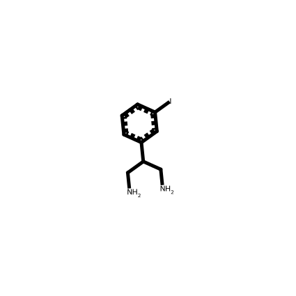 NCC(CN)c1cccc(I)c1